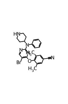 Cc1cc(C#N)cc(C)c1Oc1nc(N(c2ccccc2)C2CCNCC2)ncc1Br